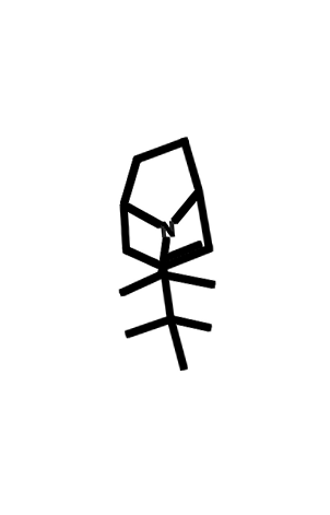 CC(C)N1C2C=C(C(C)(C)C)CC1CC2